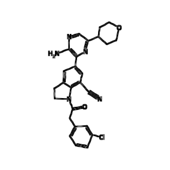 N#Cc1cc(-c2nc(C3CCOCC3)cnc2N)cc2c1N(C(=O)Cc1cccc(Cl)c1)CC2